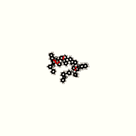 CC1(C)c2cc(-c3ccccc3-c3ccccc3N(c3cccc(-c4cccc5c4oc4c(-c6ccccc6)cccc45)c3)c3ccccc3-c3cccc4c3oc3c5ccccc5ccc43)ccc2-c2cccc(-c3ccc(N(c4ccc(-c5cccc6c5oc5ccccc56)cc4)c4ccccc4-c4ccc5oc6cc7ccccc7cc6c5c4)cc3)c21